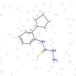 NNC(=S)Nc1ccccc1C1CCCC1